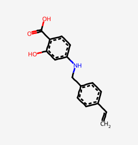 C=Cc1ccc(CNc2ccc(C(=O)O)c(O)c2)cc1